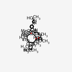 CC[C@H]1OC(=O)[C@H](C)[C@@H](O[C@H]2CC(C)(C)[C@@H](O)[C@H](C)O2)[C@H](C)[C@@H](O[C@@H]2O[C@H](C)C[C@H](N(C)CCc3cn([C@H](CF)[C@H](OC)c4ccc(-n5cc(C(C)O)nn5)cc4)nn3)[C@H]2O)[C@](C)(O)C[C@@H](C)CN(C)[C@H](C)[C@@H](O)[C@]1(C)O